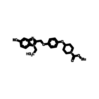 CC(C)(C)OC(=O)N1CCC(Oc2ccc(OCc3nc4cc(C#N)ccc4n3CC(=O)O)cc2)CC1